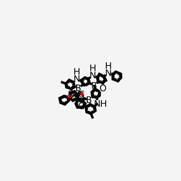 Cc1cc2c3c(c1)Oc1c(sc4ccccc14)B3c1cc3c(cc1N2)Oc1cc(Nc2ccccc2)cc2c1B3c1cc3c(cc1N2)Nc1cc(C)cc2c1B3c1sc3ccccc3c1N2c1ccccc1